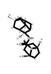 CC1C[C@H]2CC[C@@H](C1)N2C(=O)N[C@H]1C2CC3CC1C[C@](C)(C3)C2